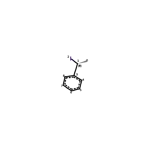 C[C@@H](I)c1ccccc1